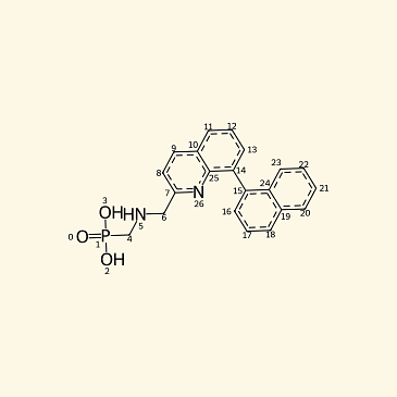 O=P(O)(O)CNCc1ccc2cccc(-c3cccc4ccccc34)c2n1